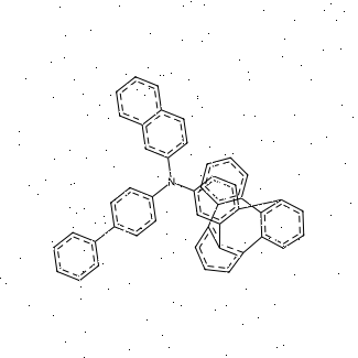 c1ccc(-c2ccc(N(c3ccc4c(c3)-c3c5cccc3-c3cccc-4c3-c3ccccc3-5)c3ccc4ccccc4c3)cc2)cc1